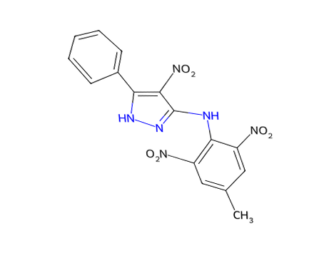 Cc1cc([N+](=O)[O-])c(Nc2n[nH]c(-c3ccccc3)c2[N+](=O)[O-])c([N+](=O)[O-])c1